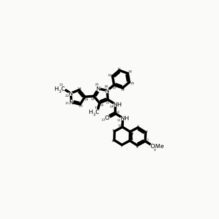 COc1ccc2c(c1)CCCC2NC(=O)Nc1c(C)c(-c2cnn(C)c2)nn1-c1ccccc1